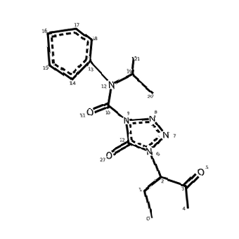 CCC(C(C)=O)n1nnn(C(=O)N(c2ccccc2)C(C)C)c1=O